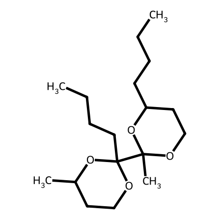 CCCCC1CCOC(C)(C2(CCCC)OCCC(C)O2)O1